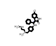 CNCCN(C)Cc1ccc(N/C(=C2\C(=O)Nc3cc(Cl)ccc32)c2ccccc2)cc1